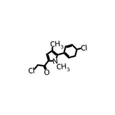 Cc1cc(C(=O)CCl)n(C)c1C1=CCC(Cl)C=C1